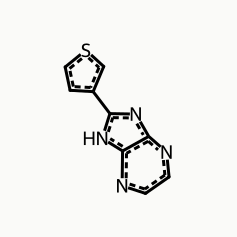 c1cnc2[nH]c(-c3ccsc3)nc2n1